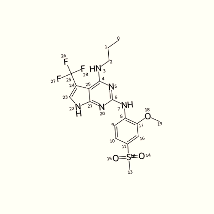 CCCNc1nc(Nc2ccc(S(C)(=O)=O)cc2OC)nc2[nH]cc(C(F)(F)F)c12